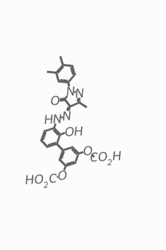 CC1=NN(c2ccc(C)c(C)c2)C(=O)C1=NNc1cccc(-c2cc(OC(=O)O)cc(OC(=O)O)c2)c1O